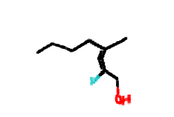 CCCCC(C)=C(F)CO